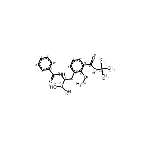 COc1c(C[C@H](NC(=O)c2ccccc2)B(O)O)cccc1C(=O)OC(C)(C)C